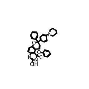 ClC1=Nc2ccc3c(c2C(Cl)(Oc2ccccc2)N1)C=CC(c1ccccc1)(c1ccc(N2CCCCC2)cc1)O3